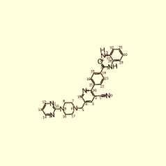 N#Cc1cc(CN2CCN(c3ncccn3)CC2)cnc1-c1ccc(C(=O)Nc2ccccc2N)cc1